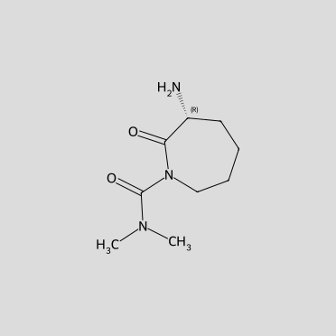 CN(C)C(=O)N1CCCC[C@@H](N)C1=O